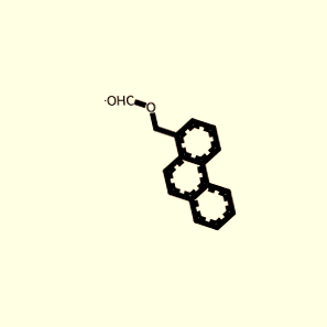 O=[C]OCc1cccc2c1ccc1ccccc12